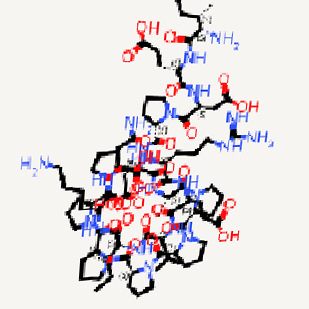 CC[C@H](C)[C@H](N)C(=O)N[C@@H](CCC(=O)O)C(=O)N[C@@H](CC(=O)O)C(=O)N1CCC[C@H]1C(=O)N[C@@H](CC(=O)O)C(=O)N[C@@H](C)C(=O)N1CCC[C@H]1C(=O)N1CCC[C@H]1C(=O)N1CCC[C@H]1C(=O)N1CCC[C@H]1C(=O)N1CCC[C@H]1C(=O)N1CCC[C@H]1C(=O)N[C@@H](CCCNC(=N)N)C(=O)N[C@@H](CCC(=O)O)C(=O)N[C@H](C(=O)N[C@H](C(=O)N[C@@H](CCCCN)C(=O)N[C@@H](CC(N)=O)C(=O)O)[C@@H](C)CC)C(C)C